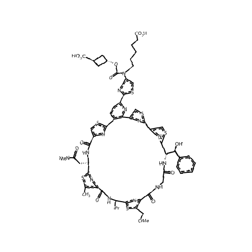 CNC(=O)C[C@@H]1NC(=O)c2csc(n2)-c2ccc(-c3nc(N(CCCCCC(=O)O)C(=O)O[C@H]4C[C@H](C(=O)O)C4)cs3)nc2-c2csc(n2)-c2csc(n2)[C@H]([C@@H](O)c2ccccc2)NC(=O)CNC(=O)c2nc(sc2COC)C(C(C)C)NC(=O)c2nc1sc2C